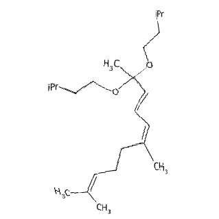 CC(C)=CCCC(C)=CC=CC(C)(OCCC(C)C)OCCC(C)C